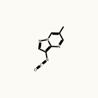 Cc1cnc2c(N=C=O)cnn2c1